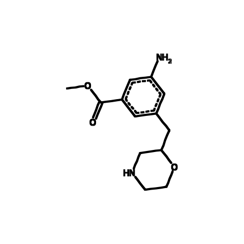 COC(=O)c1cc(N)cc(CC2CNCCO2)c1